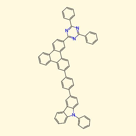 c1ccc(-c2nc(-c3ccccc3)nc(-c3ccc4c5ccccc5c5cc(-c6ccc(-c7ccc8c(c7)c7ccccc7n8-c7ccccc7)cc6)ccc5c4c3)n2)cc1